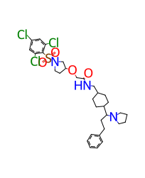 O=C(COC1CCN(S(=O)(=O)c2c(Cl)cc(Cl)cc2Cl)C1)NCC1CCC(C(CCc2ccccc2)N2CCCC2)CC1